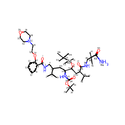 CC(C)C(CNC(=O)c1ccccc1OCCN1CCOCC1)CC(NC(=O)OC(C)(C)C)C(CC(C(=O)NCC(C)(C)C(N)=O)C(C)C)O[Si](C)(C)C(C)(C)C